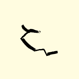 C=CC/C=C\C(C)=O